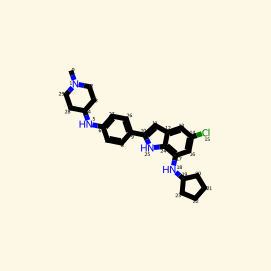 CN1CCC(Nc2ccc(-c3cc4cc(Cl)cc(NC5CCCC5)c4[nH]3)cc2)CC1